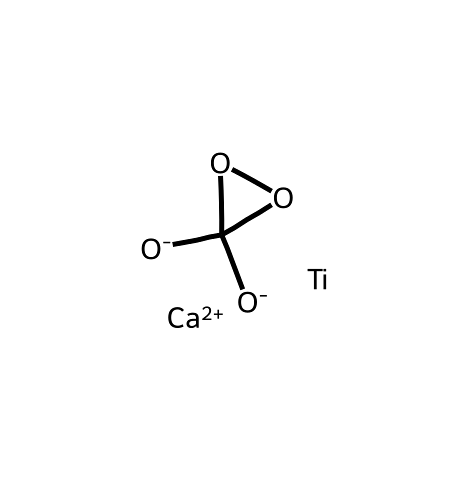 [Ca+2].[O-]C1([O-])OO1.[Ti]